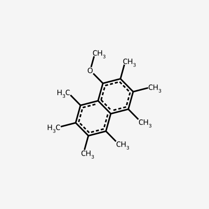 COc1c(C)c(C)c(C)c2c(C)c(C)c(C)c(C)c12